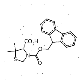 CC1(C)SCN(C(=O)OCC2c3ccccc3-c3ccccc32)C1C(=O)O